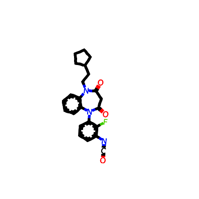 O=C=Nc1cccc(N2C(=O)CC(=O)N(CCC3CCCC3)c3ccccc32)c1F